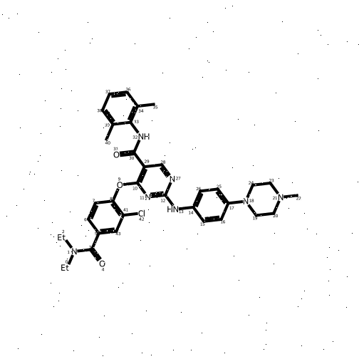 CCN(CC)C(=O)c1ccc(Oc2nc(Nc3ccc(N4CCN(C)CC4)cc3)ncc2C(=O)Nc2c(C)cccc2C)c(Cl)c1